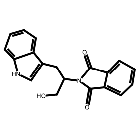 O=C1c2ccccc2C(=O)N1C(CO)Cc1c[nH]c2ccccc12